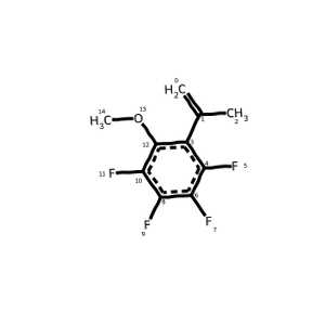 C=C(C)c1c(F)c(F)c(F)c(F)c1OC